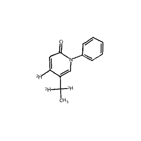 [2H]c1cc(=O)n(-c2ccccc2)cc1C([2H])([2H])C